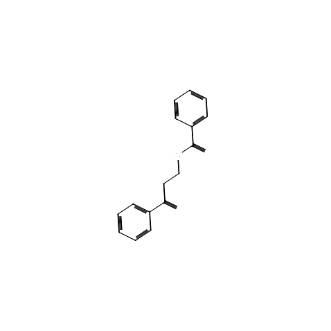 O=C(CCNC(=O)c1ccccc1)c1ccccc1